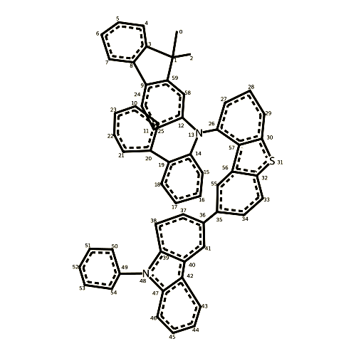 CC1(C)c2ccccc2-c2ccc(N(c3ccccc3-c3ccccc3)c3cccc4sc5ccc(-c6ccc7c(c6)c6ccccc6n7-c6ccccc6)cc5c34)cc21